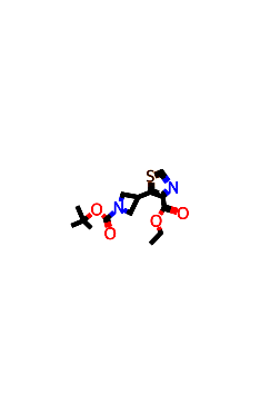 CCOC(=O)c1ncsc1C1CN(C(=O)OC(C)(C)C)C1